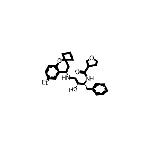 CCc1ccc2c(c1)[C@@H](NC[C@@H](O)[C@H](Cc1ccccc1)NC(=O)C1CCOC1)CC1(CCC1)O2